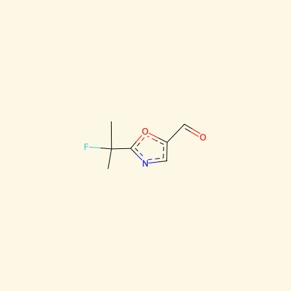 CC(C)(F)c1ncc(C=O)o1